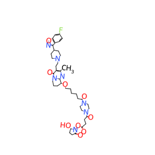 Cc1nc2n(c(=O)c1CCN1CCC(c3noc4cc(F)ccc34)CC1)CCCC2OCCCCCC(=O)N1CCN(C(=O)CCC(=O)ON2C(=O)CCC2O)CC1